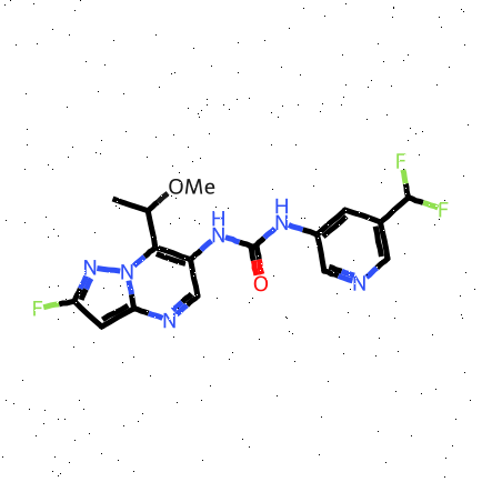 COC(C)c1c(NC(=O)Nc2cncc(C(F)F)c2)cnc2cc(F)nn12